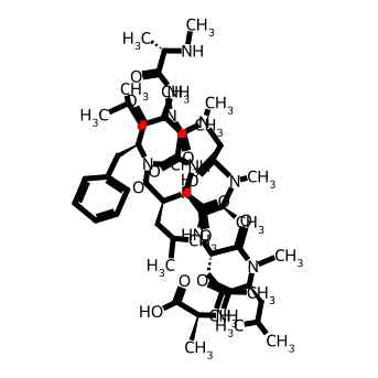 CN[C@@H](C)C(=O)N[C@@H](CC(C)C)C(=O)N(C)CC(=O)N(C)[C@@H](C)C(=O)N[C@@H](CC(C)C)C(=O)N(C)[C@@H](Cc1ccccc1)C(=O)N(C)[C@@H](C)C(=O)NCC(=O)N[C@@H](CC(C)C)C(=O)N(C)[C@@H](CC(C)C)C(=O)N[C@@H](C)C(=O)O